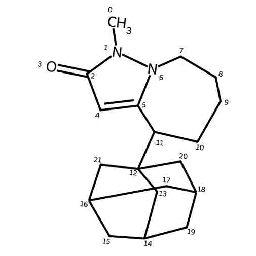 Cn1c(=O)cc2n1CCCCC2C12CC3CC(CC(C3)C1)C2